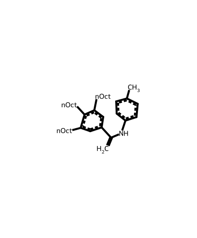 C=C(Nc1ccc(C)cc1)c1cc(CCCCCCCC)c(CCCCCCCC)c(CCCCCCCC)c1